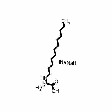 CCCCCCCCCCCCN[C@@H](C)C(=O)O.[NaH].[NaH]